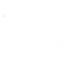 C=CC(CC(=O)O)C(C)(C=C)C(C)(C)C(=O)O